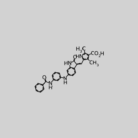 Cc1[nH]c(C=C2C(=O)Nc3cc(Nc4cccc(NC(=O)c5ccccc5)c4)ccc32)c(C)c1C(=O)O